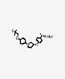 CC(=O)N[C@@H](C)c1ccc(OC2CCN(c3ccc(OCC(C)(C)F)cc3)C2)cc1